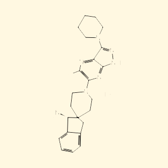 Cc1nc2c(N3CCCCC3)n[nH]c2nc1N1CCC2(CC1)Cc1ccccc1[C@H]2N.Cl